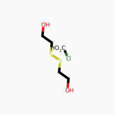 O=C(O)Cl.OCCSSCCO